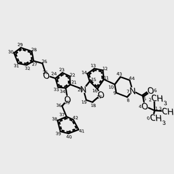 CC(C)(C)OC(=O)N1CCC(c2cccc3c2OCCN3c2ccc(OCc3ccccc3)cc2OCc2ccccc2)CC1